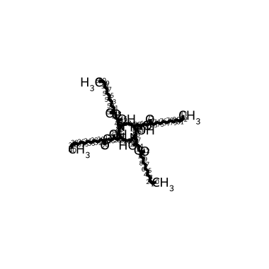 C/C=C\CCCCCCCCC(=O)OCC(O)CN1CCCN(CC(O)COC(=O)CCCCCCCC/C=C\C)CCN(CC(O)COC(=O)CCCCCCCC/C=C\C)CCCN(CC(O)COC(=O)CCCCCCCC/C=C\C)CC1